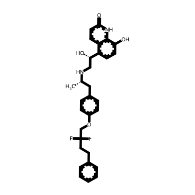 C[C@@H](Cc1ccc(OCC(F)(F)CCc2ccccc2)cc1)NC[C@H](O)c1ccc(O)c2[nH]c(=O)ccc12